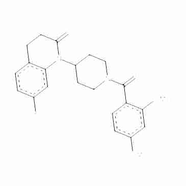 COc1ccc(C(=O)N2CCC(N3C(=O)CCc4ccc(F)cc43)CC2)c(OC)c1